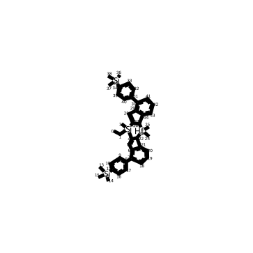 CC[Si]1(C)C2=Cc3c(-c4ccc([Si](C)(C)C)cc4)cccc3[CH]2[Hf]([CH3])([CH3])[CH]2C1=Cc1c(-c3ccc([Si](C)(C)C)cc3)cccc12